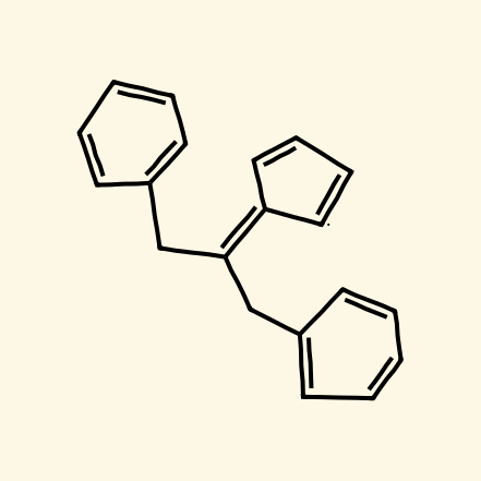 [C]1=CC=CC1=C(Cc1ccccc1)Cc1ccccc1